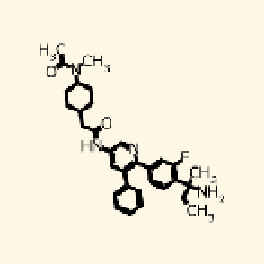 CCC(C)(N)c1ccc(-c2ncc(NC(=O)CC3CCC(N(C)C(C)=O)CC3)cc2-c2ccccc2)cc1F